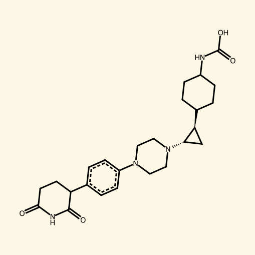 O=C(O)NC1CCC([C@H]2C[C@@H]2N2CCN(c3ccc(C4CCC(=O)NC4=O)cc3)CC2)CC1